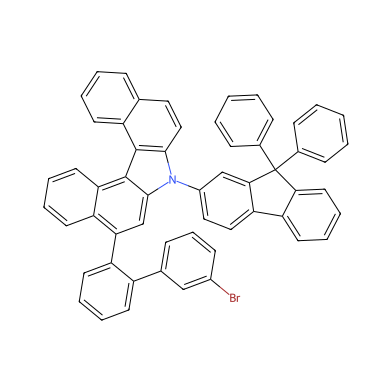 Brc1cccc(-c2ccccc2-c2cc3c(c4ccccc24)c2c4ccccc4ccc2n3-c2ccc3c(c2)C(c2ccccc2)(c2ccccc2)c2ccccc2-3)c1